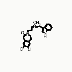 CN(CCCN1CCc2cc(Cl)c(Cl)cc2CC1=O)CCc1c[nH]c2ccccc12